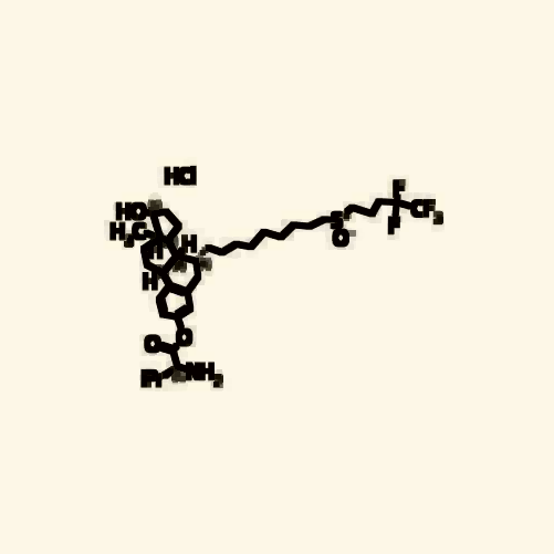 CC(C)[C@H](N)C(=O)Oc1ccc2c(c1)C[C@@H](CCCCCCCCC[S+]([O-])CCCC(F)(F)C(F)(F)F)[C@@H]1[C@@H]2CC[C@]2(C)[C@@H](O)CC[C@@H]12.Cl